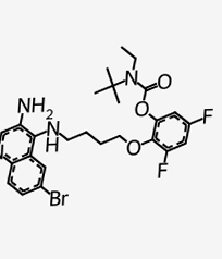 CCN(C(=O)Oc1cc(F)cc(F)c1OCCCCNc1c(N)cnc2ccc(Br)cc12)C(C)(C)C